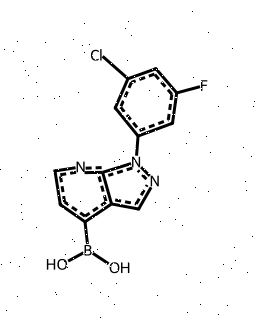 OB(O)c1ccnc2c1cnn2-c1cc(F)cc(Cl)c1